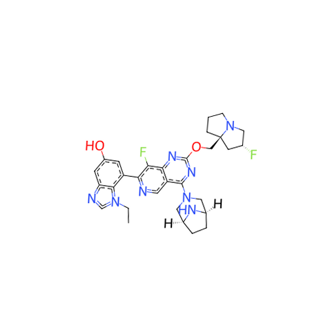 CCn1cnc2cc(O)cc(-c3ncc4c(N5C[C@H]6CC[C@@H](C5)N6)nc(OC[C@@]56CCCN5C[C@H](F)C6)nc4c3F)c21